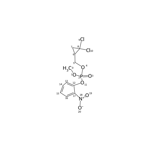 COP(=O)(OCC1CC1(Cl)Cl)Oc1ccccc1[N+](=O)[O-]